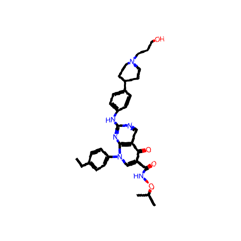 CCc1ccc(-n2cc(C(=O)NOC(C)C)c(=O)c3cnc(Nc4ccc(C5CCN(CCCO)CC5)cc4)nc32)cc1